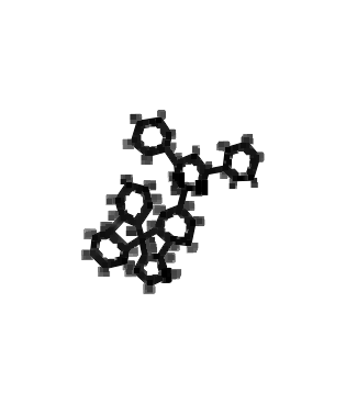 c1ccc(-c2cc(-c3ccccc3)nc(-c3ccc4c(c3)C3(c5ccccc5-c5ccccc53)c3ccsc3-4)n2)cc1